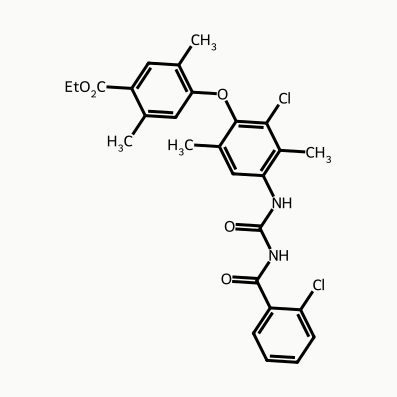 CCOC(=O)c1cc(C)c(Oc2c(C)cc(NC(=O)NC(=O)c3ccccc3Cl)c(C)c2Cl)cc1C